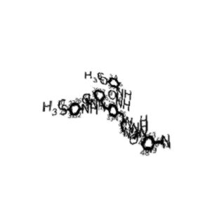 COc1cccc(NC(=O)Nc2cc(Cc3ccccc3NC(=O)Nc3ccc(SC)cc3)ccc2Cc2ccnc(NC(=O)Nc3cccc(C#N)c3)n2)c1